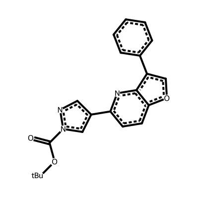 CC(C)(C)OC(=O)n1cc(-c2ccc3occ(-c4ccccc4)c3n2)cn1